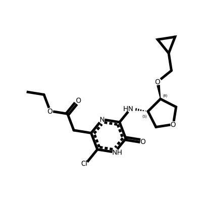 CCOC(=O)Cc1nc(N[C@H]2COC[C@@H]2OCC2CC2)c(=O)[nH]c1Cl